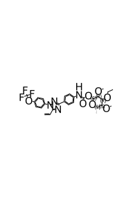 C=Cc1nc(-c2ccc(NC(=O)O[C@@H]3O[C@@H](C)[C@H](OC)[C@@H](OCC)[C@H]3OC)cc2)nn1-c1ccc(OC(F)(F)F)cc1